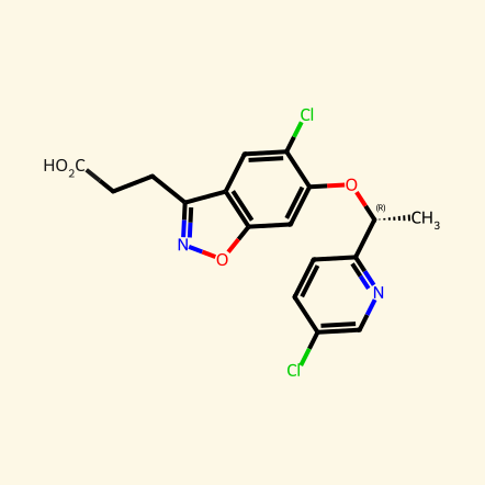 C[C@@H](Oc1cc2onc(CCC(=O)O)c2cc1Cl)c1ccc(Cl)cn1